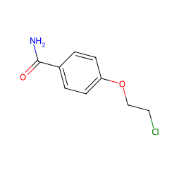 NC(=O)c1ccc(OCCCl)cc1